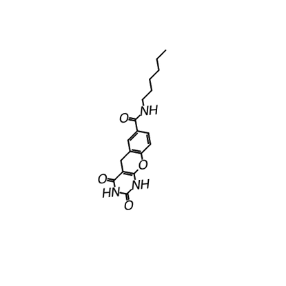 CCCCCCNC(=O)c1ccc2c(c1)Cc1c([nH]c(=O)[nH]c1=O)O2